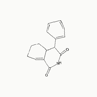 O=C1NC(=O)C(c2ccccc2)C2CCCC=C12